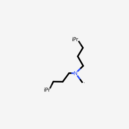 [CH2]N(CCCC(C)C)CCCC(C)C